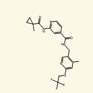 Cc1cc(OCC(F)(F)F)ncc1CNC(=O)c1ccnc(NC(=O)C2(C)CC2)c1